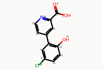 O=C(O)c1cc(-c2cc(Cl)ccc2O)ccn1